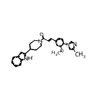 COc1cc(C=CC(=O)N2CCC(c3cc4ccccc4[nH]3)CC2)ccc1-n1cnc(C)c1